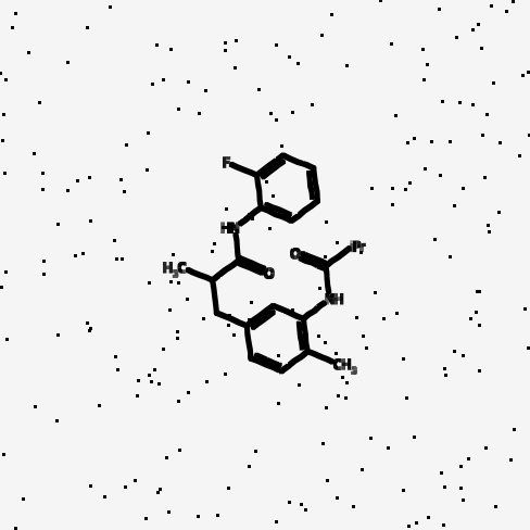 Cc1ccc(CC(C)C(=O)Nc2ccccc2F)cc1NC(=O)C(C)C